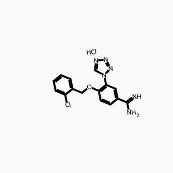 Cl.N=C(N)c1ccc(OCc2ccccc2Cl)c(-n2cnnn2)c1